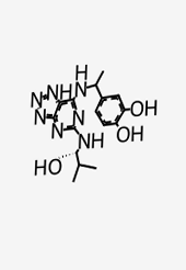 CC(Nc1nc(N[C@@H](CO)C(C)C)nc2nn[nH]c12)c1ccc(O)c(O)c1